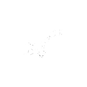 CCN(C(=O)c1cc(F)ccc1Oc1nncnc1N1CCC2(C1)CN([C@@H](C[C@@H](CNC)OC)C(C)C)C2)C(C)C